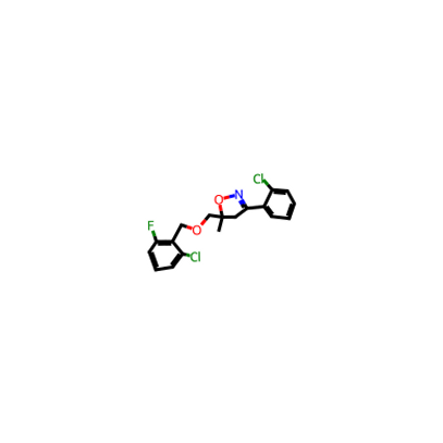 CC1(COCc2c(F)cccc2Cl)CC(c2ccccc2Cl)=NO1